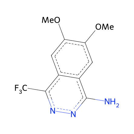 COc1cc2c(N)nnc(C(F)(F)F)c2cc1OC